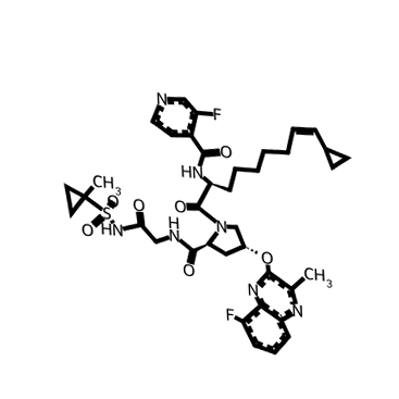 Cc1nc2cccc(F)c2nc1O[C@@H]1C[C@@H](C(=O)NCC(=O)NS(=O)(=O)C2(C)CC2)N(C(=O)[C@H](CCCCC/C=C\C2CC2)NC(=O)c2ccncc2F)C1